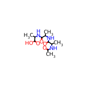 CC(=O)NC(C)C(=O)NC(C)C(=O)NC(C)C(=O)O